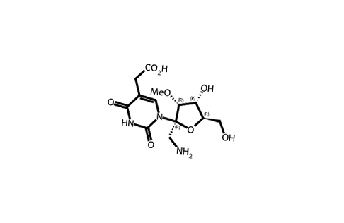 CO[C@@H]1[C@H](O)[C@@H](CO)O[C@@]1(CN)n1cc(CC(=O)O)c(=O)[nH]c1=O